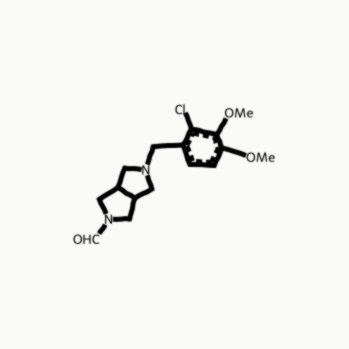 COc1ccc(CN2CC3CN(C=O)CC3C2)c(Cl)c1OC